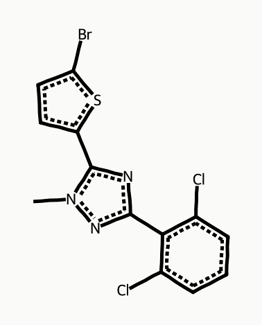 Cn1nc(-c2c(Cl)cccc2Cl)nc1-c1ccc(Br)s1